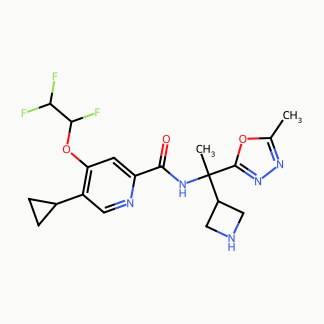 Cc1nnc(C(C)(NC(=O)c2cc(OC(F)C(F)F)c(C3CC3)cn2)C2CNC2)o1